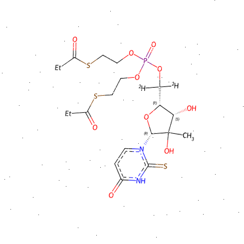 [2H]C([2H])(OP(=O)(OCCSC(=O)CC)OCCSC(=O)CC)[C@H]1O[C@@H](n2ccc(=O)[nH]c2=S)C(C)(O)[C@H]1O